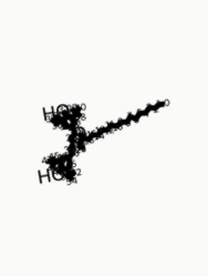 CCCCCCCCCCCCCCCCCC(=O)N(C)C(CCc1cc(C(C)(C)C)c(O)c(C(C)(C)C)c1)CCc1cc(C(C)(C)C)c(O)c(C(C)(C)C)c1